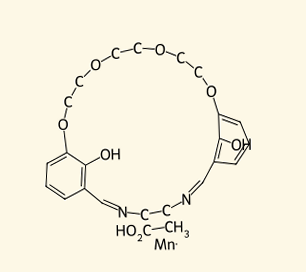 CC(=O)O.Oc1c2cccc1OCCOCCOCCOc1cccc(c1O)C=NCCN=C2.[Mn]